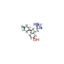 Oc1ccc2c(c1)C(Cc1c[nH]cn1)CC2c1ccc(F)cc1